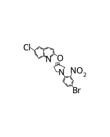 O=[N+]([O-])c1cc(Br)ccc1N1CC[C@H](Oc2ccc3cc(Cl)ccc3n2)C1